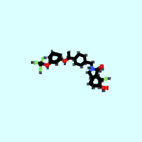 CC(Oc1cccc(OC(F)(F)F)c1)C1CCC(CN2Cc3ccc(O)c(F)c3C2=O)CC1